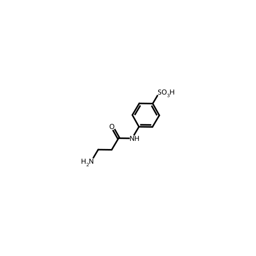 NCCC(=O)Nc1ccc(S(=O)(=O)O)cc1